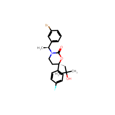 C[C@@H](c1cccc(Br)c1)N1CC[C@](CC(C)(C)O)(c2ccc(F)cc2)OC1=O